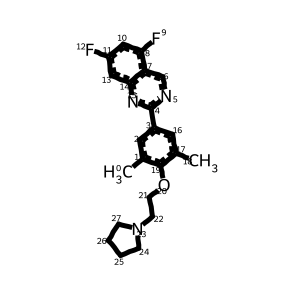 Cc1cc(-c2ncc3c(F)cc(F)cc3n2)cc(C)c1OCCN1CCCC1